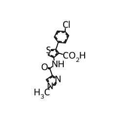 Cn1cnc(C(=O)Nc2csc(-c3ccc(Cl)cc3)c2C(=O)O)c1